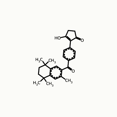 Cc1cc2c(cc1C(=O)c1ccc(C3=C(O)CCC3=O)cc1)C(C)(C)CCC2(C)C